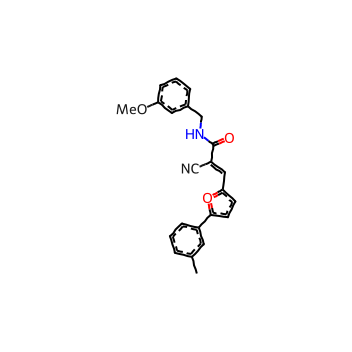 COc1cccc(CNC(=O)/C(C#N)=C/c2ccc(-c3cccc(C)c3)o2)c1